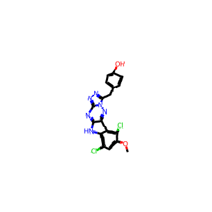 COc1cc(Cl)c2[nH]c3nc4nnc(Cc5ccc(O)cc5)n4nc3c2c1Cl